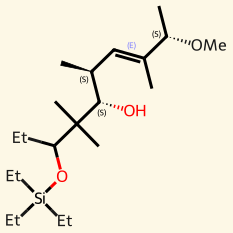 CCC(O[Si](CC)(CC)CC)C(C)(C)[C@@H](O)[C@@H](C)/C=C(\C)[C@H](C)OC